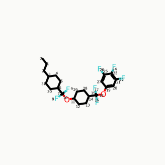 CCCC1CCC(C(F)(F)OC2CCC(C(F)(F)Oc3cc(F)c(F)c(F)c3)CC2)CC1